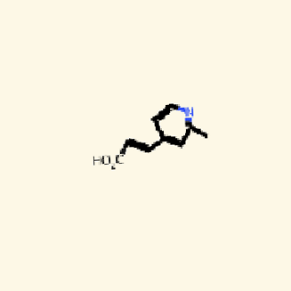 Cc1cc(C=CC(=O)O)ccn1